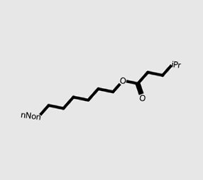 CCCCCCCCCCCCCCCOC(=O)CCC(C)C